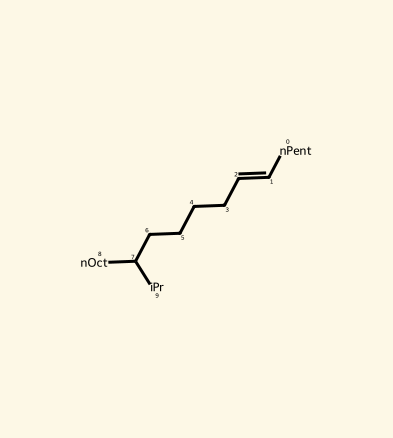 [CH2]CCCCC=CCCCCC(CCCCCCC[CH2])C(C)C